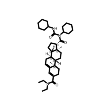 CCN(CC)C(=O)C1=CC2=CC[C@H]3[C@@H]4CC[C@H](C(=O)N(C(=O)NC5CCCCC5)C5CCCCC5)[C@@]4(C)CC[C@@H]3[C@@]2(C)CC1